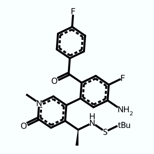 C[C@H](NSC(C)(C)C)c1cc(=O)n(C)cc1-c1cc(N)c(F)cc1C(=O)c1ccc(F)cc1